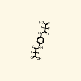 O=C(O)C(F)(F)C(=O)Nc1ccc(NC(=O)C(F)(F)C(=O)O)cc1